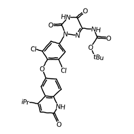 CC(C)c1cc(=O)[nH]c2ccc(Oc3c(Cl)cc(-n4nc(NC(=O)OC(C)(C)C)c(=O)[nH]c4=O)cc3Cl)cc12